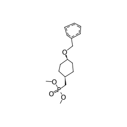 COP(=O)(C[C@H]1CC[C@@H](OCc2ccccc2)CC1)OC